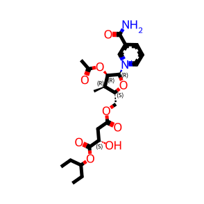 CCC(CC)OC(=O)[C@@H](O)CC(=O)OC[C@H]1O[C@@H]([n+]2cccc(C(N)=O)c2)[C@H](OC(C)=O)[C@@H]1C